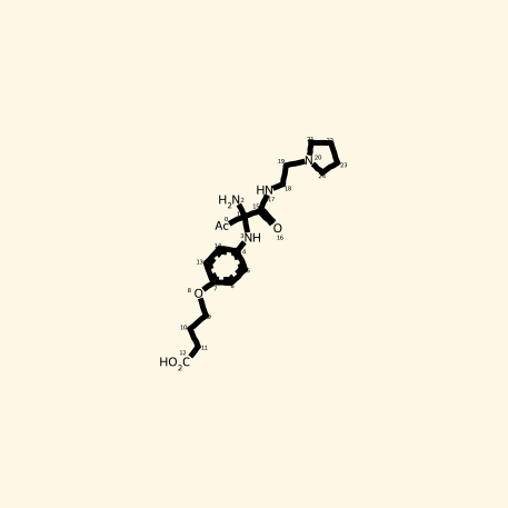 CC(=O)C(N)(Nc1ccc(OCCCC(=O)O)cc1)C(=O)NCCN1CCCC1